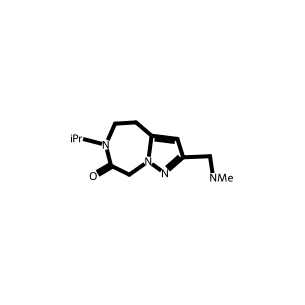 CNCc1cc2n(n1)CC(=O)N(C(C)C)CC2